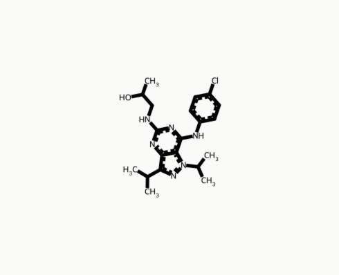 CC(O)CNc1nc(Nc2ccc(Cl)cc2)c2c(n1)c(C(C)C)nn2C(C)C